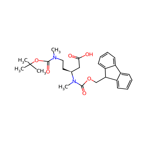 CN(CC[C@@H](CC(=O)O)N(C)C(=O)OCC1c2ccccc2-c2ccccc21)C(=O)OC(C)(C)C